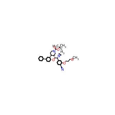 COCCCOc1cc(C(C(=O)[C@H]2CN(C(=O)OC(C)(C)C)CC[C@@H]2c2cccc(-c3ccccc3)c2)N2CC2)ccc1C#N